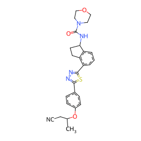 CC(CC#N)Oc1ccc(-c2nnc(-c3cccc4c3CCC4NC(=O)N3CCOCC3)s2)cc1